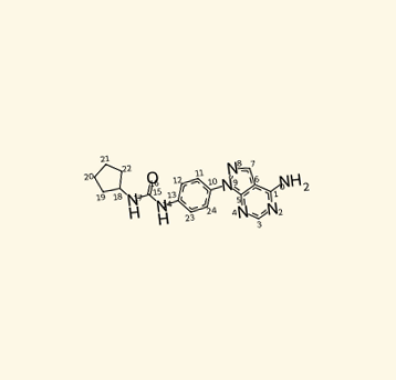 Nc1ncnc2c1cnn2-c1ccc(NC(=O)NC2CCCC2)cc1